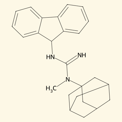 CN(C(=N)NC1c2ccccc2-c2ccccc21)C12CC3CC(CC(C3)C1)C2